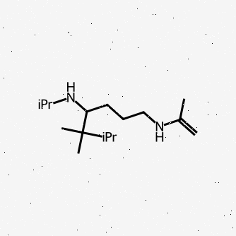 C=C(C)NCCCC(NC(C)C)C(C)(C)C(C)C